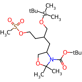 CC(C)(C)OC(=O)N1C(CC(CCOS(C)(=O)=O)CO[Si](C)(C)C(C)(C)C)COC1(C)C